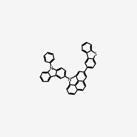 c1ccc(-n2c3ccccc3c3cc(-n4c5cccc6ccc7cc(-c8ccc9sc%10ccccc%10c9c8)cc4c7c65)ccc32)cc1